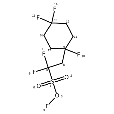 O=S(=O)(OF)C(F)(F)CC1(F)CCC(F)(F)CC1